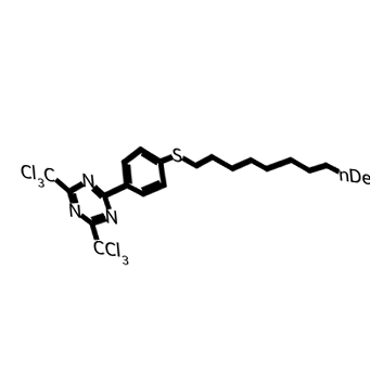 CCCCCCCCCCCCCCCCCCSc1ccc(-c2nc(C(Cl)(Cl)Cl)nc(C(Cl)(Cl)Cl)n2)cc1